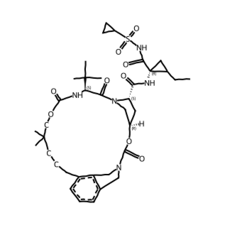 CCC1C[C@]1(NC(=O)[C@@H]1C[C@@H]2CN1C(=O)[C@H](C(C)(C)C)NC(=O)OCC(C)(C)CCCc1cccc3c1CN(C3)C(=O)O2)C(=O)NS(=O)(=O)C1CC1